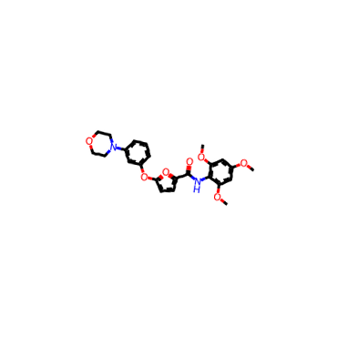 COc1cc(OC)c(NC(=O)c2ccc(Oc3cccc(N4CCOCC4)c3)o2)c(OC)c1